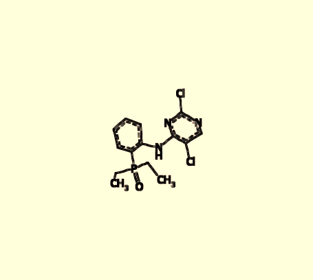 CCP(=O)(CC)c1ccccc1Nc1nc(Cl)ncc1Cl